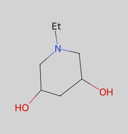 CCN1CC(O)CC(O)C1